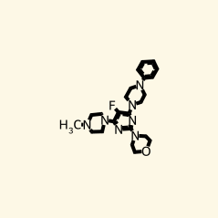 CN1CCN(c2nc(N3CCOCC3)nc(N3CCN(c4ccccc4)CC3)c2F)CC1